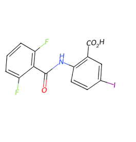 O=C(O)c1cc(I)ccc1NC(=O)c1c(F)cccc1F